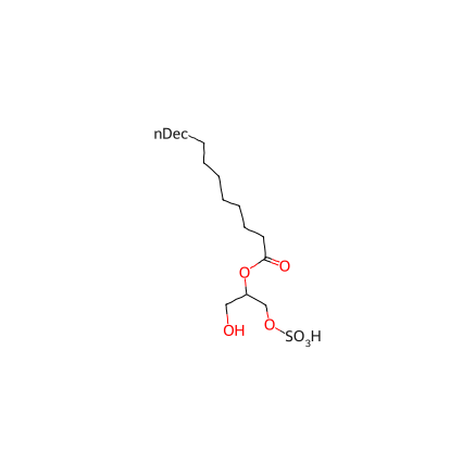 CCCCCCCCCCCCCCCCCC(=O)OC(CO)COS(=O)(=O)O